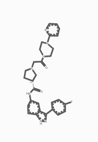 O=C(Nc1ccc2[nH]nc(-c3ccc(F)cc3)c2c1)[C@@H]1CCN(CC(=O)N2CCN(c3ccccn3)CC2)C1